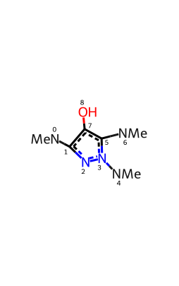 CNc1nn(NC)c(NC)c1O